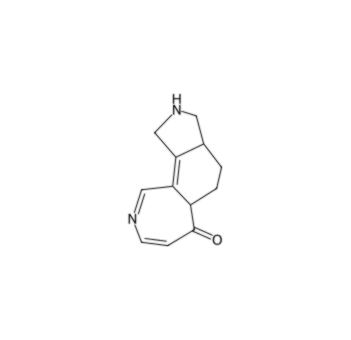 O=C1C=CN=CC2=C3CNCC3CCC12